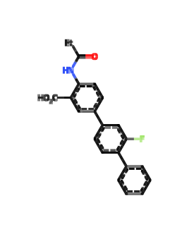 CCC(=O)Nc1ccc(-c2ccc(-c3ccccc3)c(F)c2)cc1C(=O)O